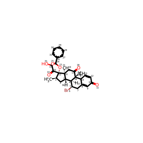 C[C@@H]1C[C@H]2[C@@H]3[C@H](Br)CC4=CC(=O)C=C[C@]4(C)[C@H]3C(=O)C[C@]2(C)[C@]1(OC(=O)c1ccccc1)C(=O)CO